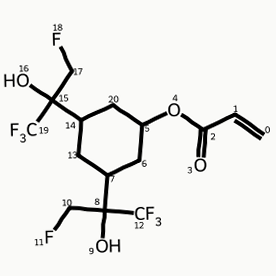 C=CC(=O)OC1CC(C(O)(CF)C(F)(F)F)CC(C(O)(CF)C(F)(F)F)C1